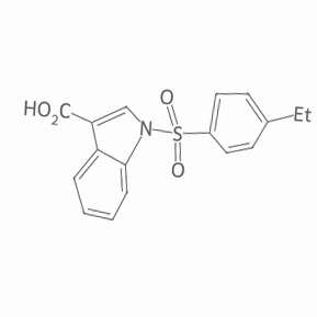 CCc1ccc(S(=O)(=O)n2cc(C(=O)O)c3ccccc32)cc1